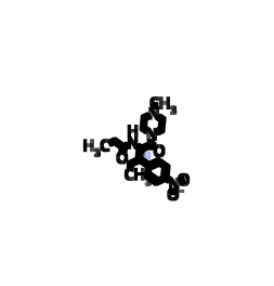 CCC(=O)N/C(C(=O)N1CCN(C)CC1)=C(\CC)c1ccc([N+](=O)[O-])cc1